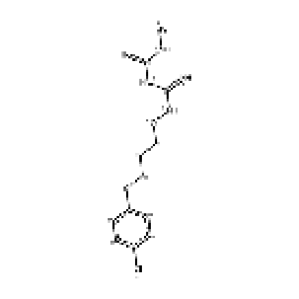 CC(C)NC(=N)NC(=N)NOCCCOc1ccc(Cl)cc1